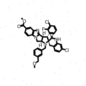 COCc1cccc(CN2[C@H]3Cn4c(nc5cc(C(=O)OC)ccc54)[C@H]3[C@H](c3cccc(Cl)c3F)[C@@]23Cc2ccc(Cl)cc2NC3=O)c1